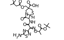 CC(=O)CC(=O)OCC1(C(=O)O)CS[C@@H]2C(NC(=O)C(=NOC(C)C(=O)OC(C)(C)C)c3nsc(N)n3)C(=O)N2C1